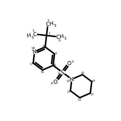 CC(C)(C)c1cc(S(=O)(=O)N2CCCCC2)ccn1